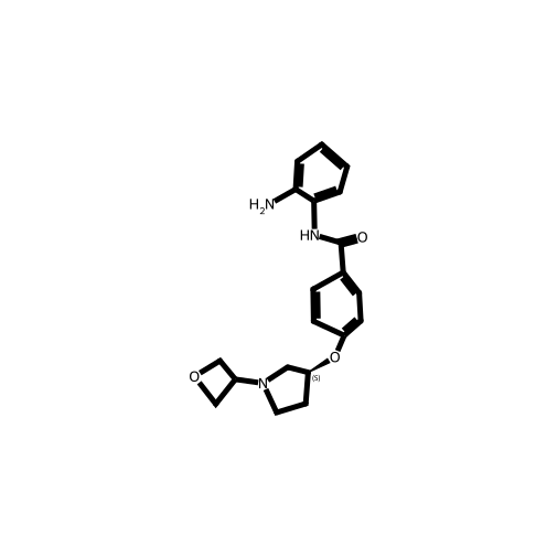 Nc1ccccc1NC(=O)c1ccc(O[C@H]2CCN(C3COC3)C2)cc1